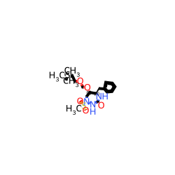 C[Si](C)(C)CCOCO[C@@H]1CN(S(C)(=O)=O)NC(=O)N[C@@H]1Cc1ccccc1